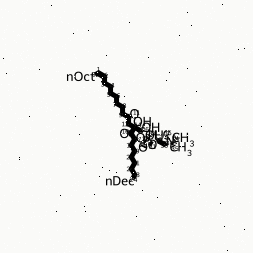 CCCCCCCC/C=C\CCCCCCCC(=O)CC(O)(C(=O)CCCCCCCCCCCCCCCCC)C(O)OP(=O)(O)OCC[N+](C)(C)C